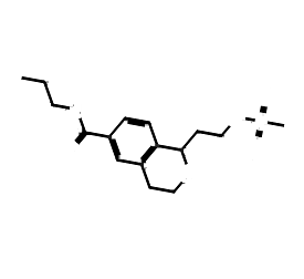 CCCNC(=O)c1ccc2c(c1)CCOC2CCOS(C)(=O)=O